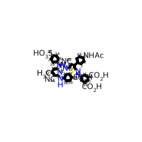 CC(=O)Nc1ccc(-c2c(N=Nc3cc(C(=O)O)cc(C(=O)O)c3)sc(N=NN(c3ccc(S(=O)(=O)O)cc3)c3cc(C)c(C#N)c(Nc4ccc(S(=O)(=O)O)cc4)n3)c2C#N)cc1